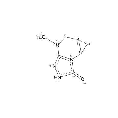 CN1CI2CC2n2c1n[nH]c2=O